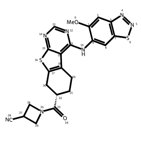 COc1cc2nnsc2cc1Nc1ncnc2sc3c(c12)CC[C@H](C(=O)N1CC(C#N)C1)C3